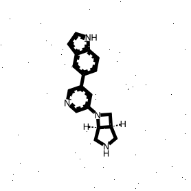 c1cc2cc(-c3cncc(N4C[C@H]5CNC[C@H]54)c3)ccc2[nH]1